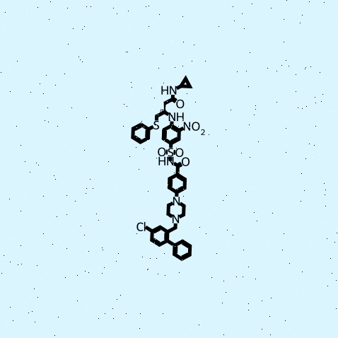 O=C(C[C@H](CSc1ccccc1)Nc1ccc(S(=O)(=O)NC(=O)c2ccc(N3CCN(Cc4cc(Cl)ccc4-c4ccccc4)CC3)cc2)cc1[N+](=O)[O-])NC1CC1